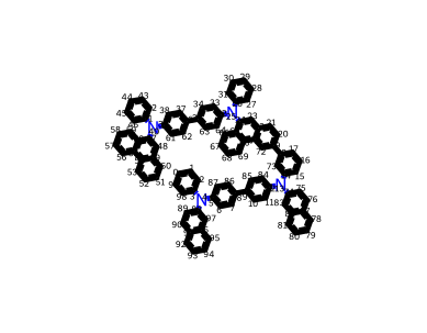 c1ccc(N(c2ccc(-c3ccc(N(c4cccc(-c5ccc6cc(N(c7ccccc7)c7ccc(-c8ccc(N(c9ccccc9)c9cc%10ccccc%10c%10ccccc9%10)cc8)cc7)c7ccccc7c6c5)c4)c4ccc5ccccc5c4)cc3)cc2)c2ccc3ccccc3c2)cc1